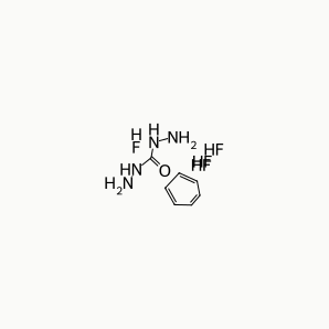 F.F.F.F.NNC(=O)NN.c1ccccc1